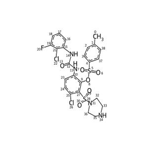 Cc1ccc(S(=O)(=O)Oc2c(NC(=O)Nc3cccc(F)c3Cl)ccc(Cl)c2S(=O)(=O)N2CCNCC2)cc1